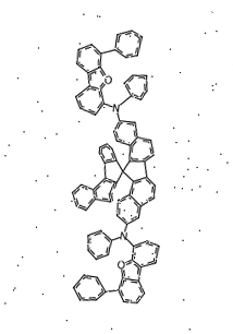 c1ccc(-c2cccc3c2oc2c(N(c4ccccc4)c4ccc5c6c(ccc5c4)-c4ccc5cc(N(c7ccccc7)c7cccc8c7oc7c(-c9ccccc9)cccc78)ccc5c4C64c5ccccc5-c5c4ccc4ccccc54)cccc23)cc1